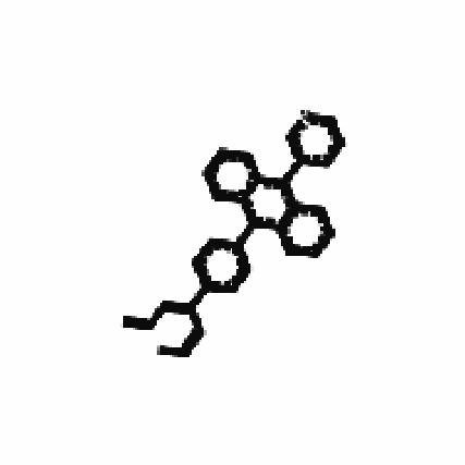 C=C/C=C(\C=C/C)c1ccc(-c2c3ccccc3c(-c3cccnc3)c3ccccc23)cc1